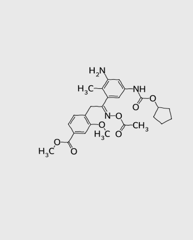 COC(=O)c1ccc(CC(=NOC(C)=O)c2cc(NC(=O)OC3CCCC3)cc(N)c2C)c(OC)c1